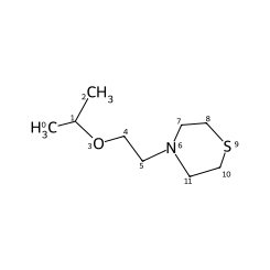 CC(C)OCCN1CCSCC1